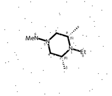 CCN1[C@H](C)CN(NC)C[C@@H]1C